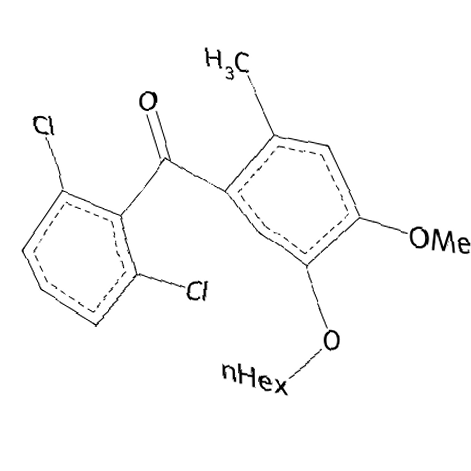 CCCCCCOc1cc(C(=O)c2c(Cl)cccc2Cl)c(C)cc1OC